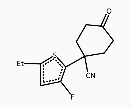 CCc1cc(F)c(C2(C#N)CCC(=O)CC2)s1